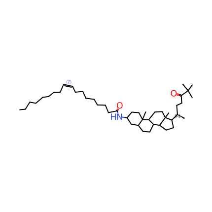 CCCCCCCC/C=C\CCCCCCCC(=O)NC1CCC2(C)C(CCC3C2CCC2(C)C3CCC2[C@H](C)CCC(=O)C(C)(C)C)C1